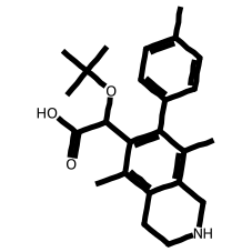 Cc1ccc(-c2c(C)c3c(c(C)c2C(OC(C)(C)C)C(=O)O)CCNC3)cc1